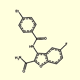 CCc1ccc(C(=O)Nc2c(C(N)=O)oc3ccc(F)cc23)cc1